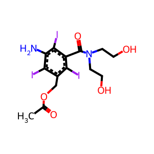 CC(=O)OCc1c(I)c(N)c(I)c(C(=O)N(CCO)CCO)c1I